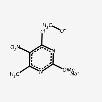 COc1nc(C)c([N+](=O)[O-])c(Cl)n1.C[O-].[Na+]